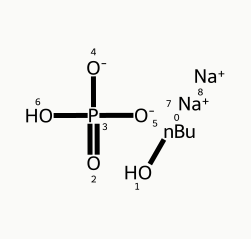 CCCCO.O=P([O-])([O-])O.[Na+].[Na+]